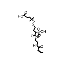 C/C=C\C(=O)NCCNC(=O)C(CCSSC(C)(C)CCC(=O)O)S(=O)(=O)O